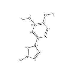 COc1ccc(-n2ccc(C)c2)cc1OC